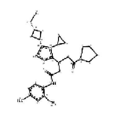 Cc1ccc(NC(=O)CC(CC(=O)N2CCCC2)c2nnc([C@H]3C[C@@H](CC(C)C)C3)n2C2CC2)c(C)c1